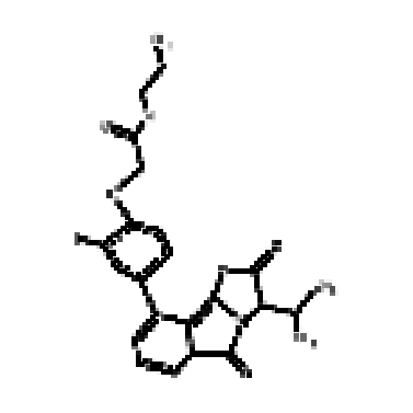 CCCNC(=O)COc1ccc(C2=CC=CC3C(=O)N4C(=C23)OC(=O)C4C(C)C)cc1I